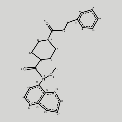 CON(C(=O)C1CCN(C(=O)OCc2ccccc2)CC1)c1ccnc2cccnc12